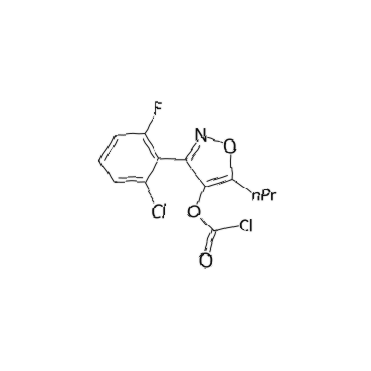 CCCc1onc(-c2c(F)cccc2Cl)c1OC(=O)Cl